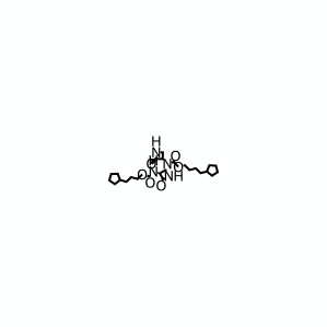 O=C(N[C@@H]1C(=O)NC1N(C(=O)OCCCCC1CCCC1)[C@H]1CNC1=O)OCCCC1CCCC1